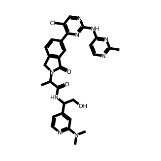 Cc1nccc(Nc2ncc(Cl)c(-c3ccc4c(c3)C(=O)N(C(C)C(=O)NC(CO)c3ccnc(N(C)C)c3)C4)n2)n1